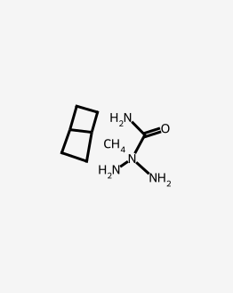 C.C1CC2CCC12.NC(=O)N(N)N